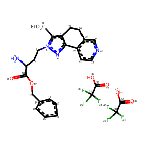 CCOC(=O)c1c2c(nn1CCC(N)C(=O)OCc1ccccc1)-c1ccncc1CC2.O=C(O)C(F)(F)F.O=C(O)C(F)(F)F